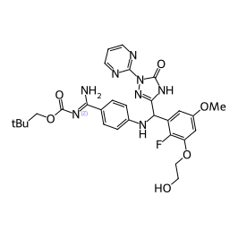 COc1cc(OCCO)c(F)c(C(Nc2ccc(/C(N)=N/C(=O)OCC(C)(C)C)cc2)c2nn(-c3ncccn3)c(=O)[nH]2)c1